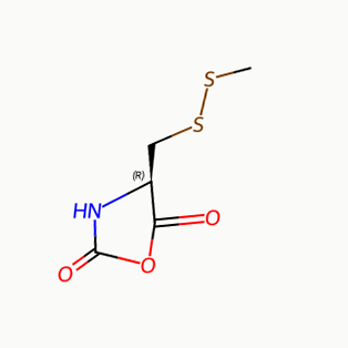 CSSC[C@@H]1NC(=O)OC1=O